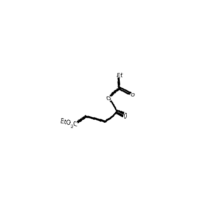 CCOC(=O)CCC(=O)OC(=O)CC